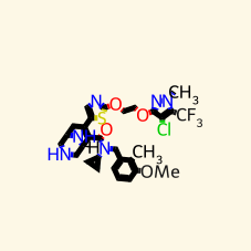 COc1cccc(CN(C(=O)C2=C(c3cnc(OCCOc4nn(C)c(C(F)(F)F)c4Cl)s3)CC3CNC[C@H]2N3)C2CC2)c1C